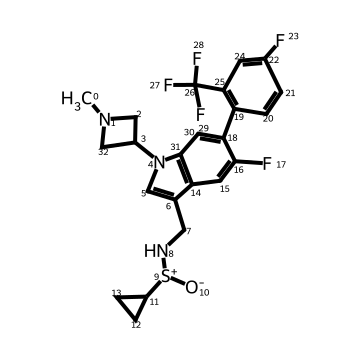 CN1CC(n2cc(CN[S+]([O-])C3CC3)c3cc(F)c(-c4ccc(F)cc4C(F)(F)F)cc32)C1